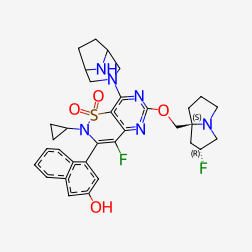 O=S1(=O)c2c(nc(OC[C@@]34CCCN3C[C@H](F)C4)nc2N2CC3CCC(C2)N3)C(F)=C(c2cc(O)cc3ccccc23)N1C1CC1